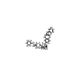 Cl.Cl.O=C(CCC1CCN(CCc2ccccc2)CC1)c1ccc2c(c1)CCN(Cc1ccccc1)CC2